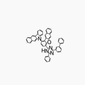 c1ccc(C2=NC(c3cccc(-c4ccccc4)c3)=NC(c3ccc(-n4c5ccccc5c5cc6ccccc6cc54)c4c3oc3cc5ccccc5cc34)N2)cc1